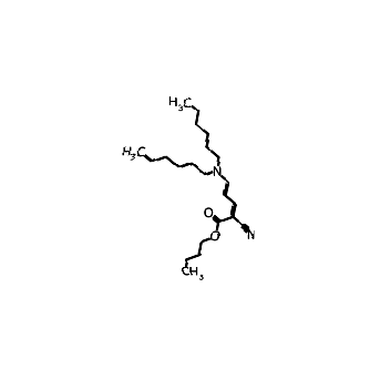 CCCCCCN(/C=C/C=C(/C#N)C(=O)OCCCC)CCCCCC